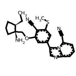 CC[C@@H]1CCC[C@@]1(N)COc1cc(-c2cnc3cccc(C#N)n23)cc(SC)c1C#N